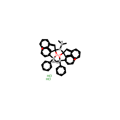 C[SiH](C)[Zr]([C]1(O[Si](c2ccccc2)(c2ccccc2)C(C)(C)C)C=c2ccccc2=C1)[C]1(O[Si](c2ccccc2)(c2ccccc2)C(C)(C)C)C=c2ccccc2=C1.Cl.Cl